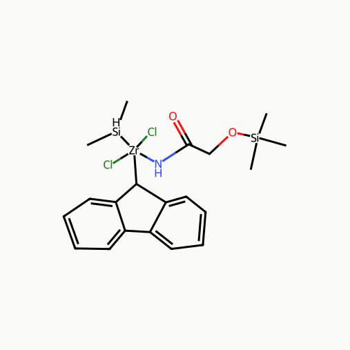 C[SiH](C)[Zr]([Cl])([Cl])([NH]C(=O)CO[Si](C)(C)C)[CH]1c2ccccc2-c2ccccc21